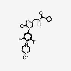 O=C(NC[C@H]1CN(c2cc(F)c(N3CC[S+]([O-])CC3)c(F)c2)C(=O)O1)C1CCC1